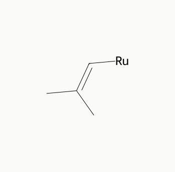 CC(C)=[CH][Ru]